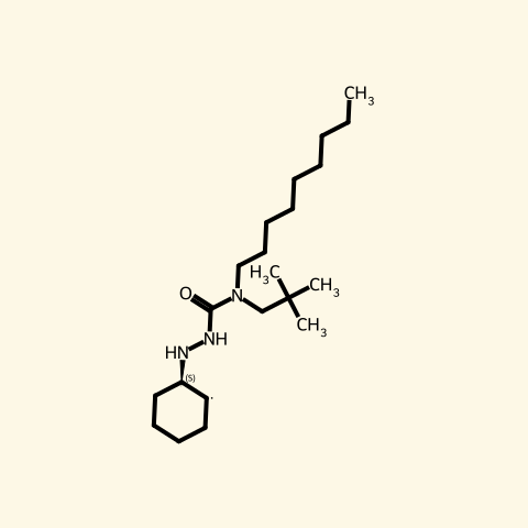 CCCCCCCCCN(CC(C)(C)C)C(=O)NN[C@H]1[CH]CCCC1